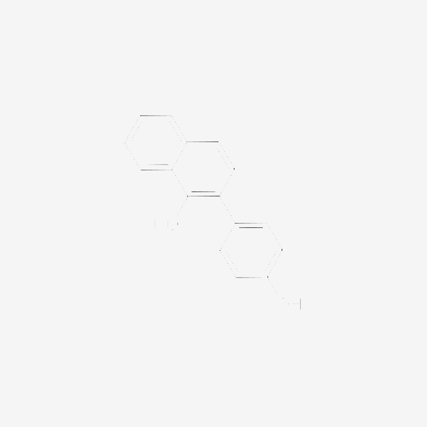 Oc1ccc(-c2ccc3ccccc3c2O)cc1